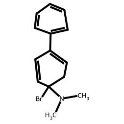 CN(C)C1(Br)C=CC(c2ccccc2)=CC1